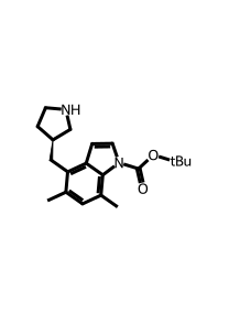 Cc1cc(C)c2c(ccn2C(=O)OC(C)(C)C)c1C[C@H]1CCNC1